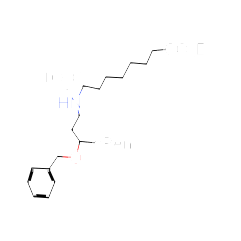 CCCCCC(CCNC(CCCCCCC(=O)OCC)C(=O)OCC)OCc1ccccc1